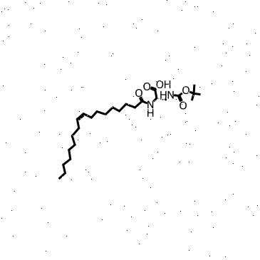 CCCCCCCC/C=C\CCCCCCCC(=O)N[C@@H](CNC(=O)OC(C)(C)C)C(=O)O